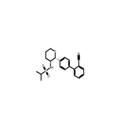 CC(C)S(=O)(=O)N[C@H]1CCCO[C@@H]1c1ccc(-c2ccccc2C#N)cc1